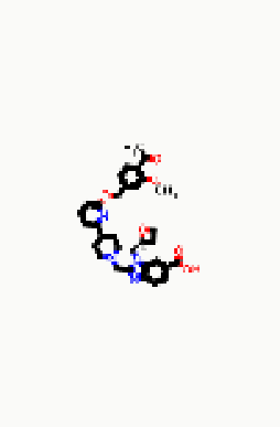 COc1cc(COc2cccc(C3CCN(Cc4nc5ccc(C(=O)O)cc5n4C[C@@H]4CCO4)CC3)n2)ccc1C(C)=O